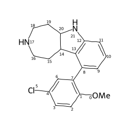 COc1ccc(Cl)cc1-c1cccc2c1C1CCNCCC1N2